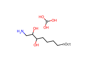 CCCCCCCCCCCCC(O)C(O)CN.OB(O)O